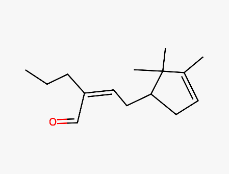 CCCC(C=O)=CCC1CC=C(C)C1(C)C